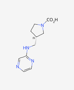 O=C(O)N1CC[C@@H](CNc2cnccn2)C1